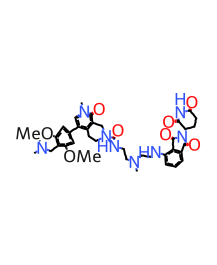 COc1cc(-c2cn(C)c(=O)c3c2CCN(C(=O)NCCN(C)CCNc2cccc4c2C(=O)N(C2CCC(=O)NC2=O)C4=O)C3)cc(OC)c1CN(C)C